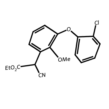 CCOC(=O)C(C#N)c1cccc(Oc2ccccc2Cl)c1OC